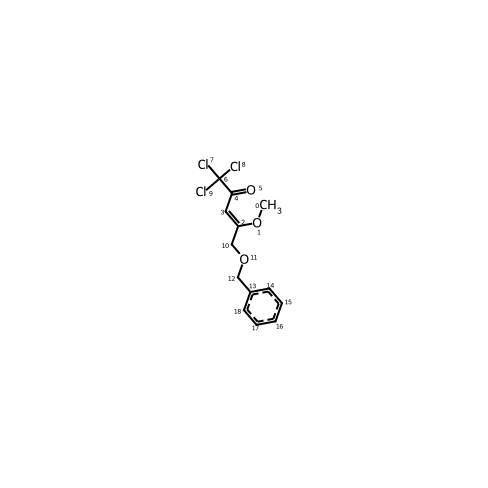 COC(=CC(=O)C(Cl)(Cl)Cl)COCc1ccccc1